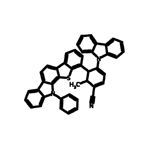 CC1C(C#N)=CC=C(n2c3ccccc3c3ccccc32)C1c1cccc2c1sc1c2ccc2c3ccccc3n(-c3ccccc3)c21